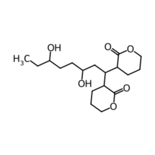 CCC(O)CCC(O)CC(C1CCCOC1=O)C1CCCOC1=O